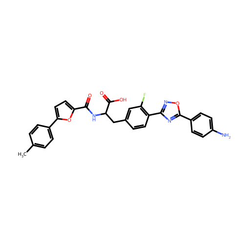 Cc1ccc(-c2ccc(C(=O)NC(Cc3ccc(-c4noc(-c5ccc(N)cc5)n4)c(F)c3)C(=O)O)o2)cc1